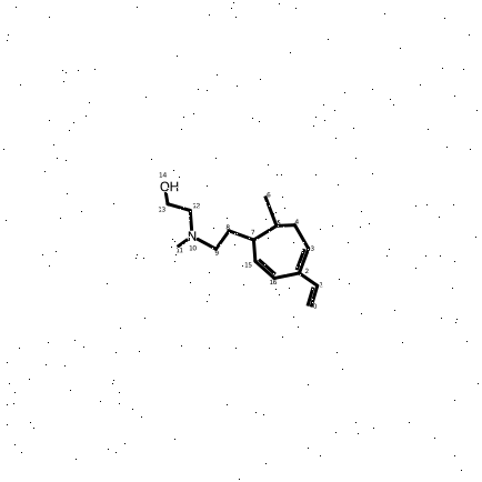 C=CC1=CCC(C)C(CCN(C)CCO)C=C1